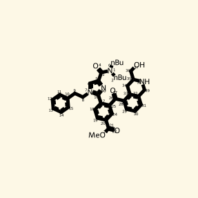 CCCCN(CCCC)C(=O)c1cn(CCc2ccccc2)c(-c2ccc(C(=O)OC)cc2C(=O)c2cccc3c2CC(CO)NC3)n1